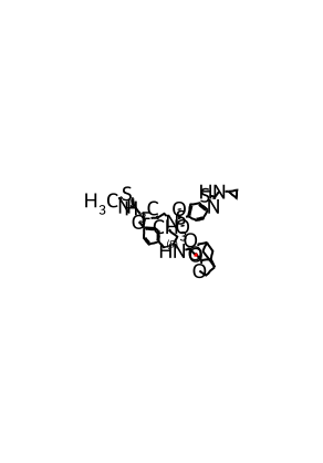 Cc1nc(COc2ccc(C[C@@H](CCN(CC(C)(C)F)S(=O)(=O)c3ccc4nc(NC5CC5)sc4c3)NC(=O)OC3C4COC5OCC3C5C4)cc2)cs1